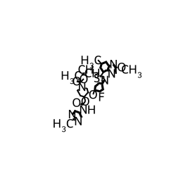 COc1cnc2c(-c3nc4cc(F)c(OC5CN(C(=O)OC(C)(C)C)CCC5OC(=O)Nc5cnc(C)nc5)cc4s3)cc(C)cc2n1